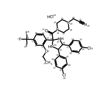 CCOc1cc(C(F)(F)F)ccc1C1(C(=O)N2CCN(CC#N)CC2)NC(c2ccc(Cl)cc2)C(c2ccc(Cl)cc2)N1.Cl